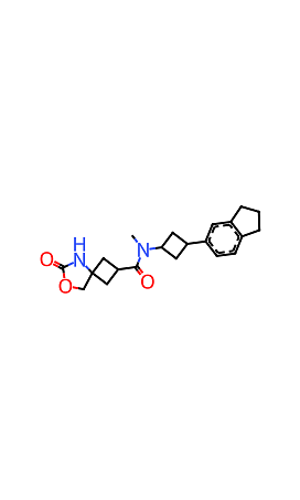 CN(C(=O)C1CC2(COC(=O)N2)C1)C1CC(c2ccc3c(c2)CCC3)C1